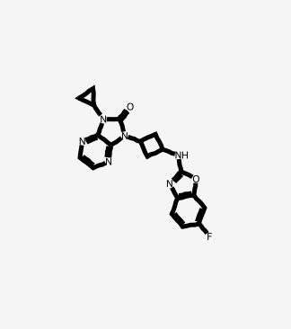 O=c1n(C2CC2)c2nccnc2n1C1CC(Nc2nc3ccc(F)cc3o2)C1